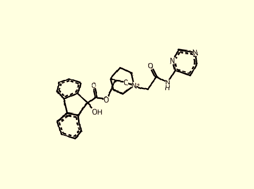 O=C(C[N+]12CCC(CC1)C(OC(=O)C1(O)c3ccccc3-c3ccccc31)C2)Nc1ccncn1